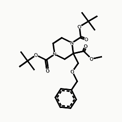 COC(=O)C1(COCc2ccccc2)CN(C(=O)OC(C)(C)C)CCN1C(=O)OC(C)(C)C